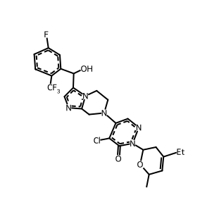 CCC1=CC(C)OC(n2ncc(N3CCn4c(C(O)c5cc(F)ccc5C(F)(F)F)cnc4C3)c(Cl)c2=O)C1